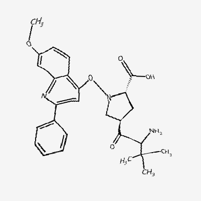 COc1ccc2c(ON3C[C@H](C(=O)C(N)C(C)(C)C)C[C@H]3C(=O)O)cc(-c3ccccc3)nc2c1